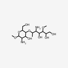 COC1OC(CO)C(OC(C)C(N)C(O)C(OC)C(O)CO)C(O)C1N